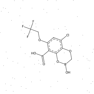 O=C(O)c1c(OCC(F)(F)F)cc(Cl)c2c1OB(O)CO2